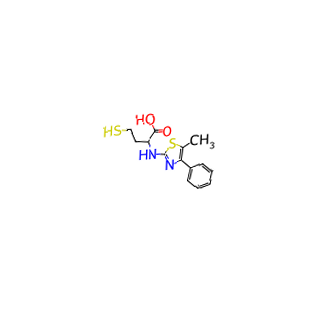 Cc1sc(NC(CCS)C(=O)O)nc1-c1ccccc1